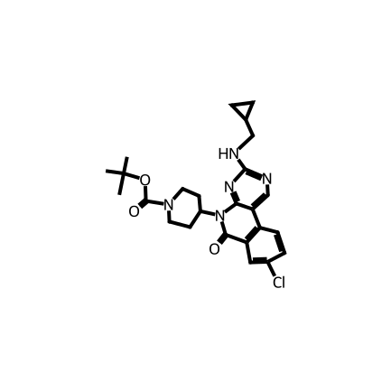 CC(C)(C)OC(=O)N1CCC(n2c(=O)c3cc(Cl)ccc3c3cnc(NCC4CC4)nc32)CC1